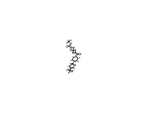 CC(C)(C)OC(=O)N1CC2(CC(C(=O)N3CCN(c4ncc(C(F)(F)F)cn4)CC3)C2)C1